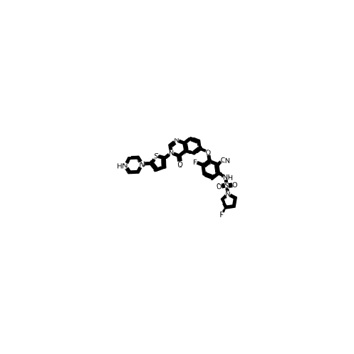 N#Cc1c(NS(=O)(=O)N2CC[C@@H](F)C2)ccc(F)c1Oc1ccc2ncn(-c3ccc(N4CCNCC4)s3)c(=O)c2c1